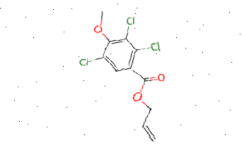 C=CCOC(=O)c1cc(Cl)c(OC)c(Cl)c1Cl